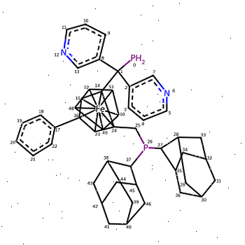 PC(c1cccnc1)(c1cccnc1)[C]12[CH]3[C]4(c5ccccc5)[CH]5[C]1(CP(C1C6CC7CC(C6)CC1C7)C1C6CC7CC(C6)CC1C7)[Fe]53421678[CH]2[CH]1[CH]6[CH]7[CH]28